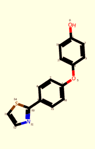 Oc1ccc(Oc2ccc(-c3nccs3)cc2)cc1